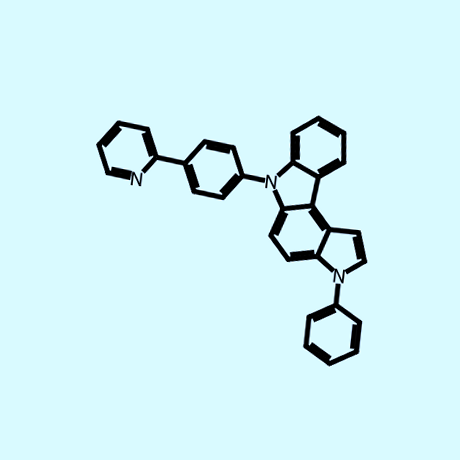 c1ccc(-n2ccc3c4c5ccccc5n(-c5ccc(-c6ccccn6)cc5)c4ccc32)cc1